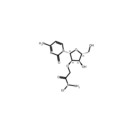 CCN(N)C(=O)CO[C@@H]1[C@H](O)[C@@H](CO)O[C@H]1n1ccc(N)nc1=O